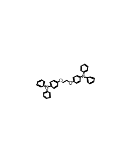 c1ccc(N(c2ccccc2)c2ccc(OCCOc3ccc(N(c4ccccc4)c4ccccc4)cc3)cc2)cc1